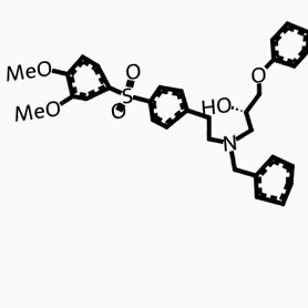 COc1ccc(S(=O)(=O)c2ccc(CCN(Cc3ccccc3)C[C@H](O)COc3ccccc3)cc2)cc1OC